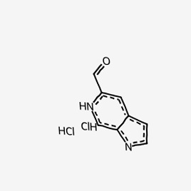 Cl.Cl.O=Cc1cc2ccnc-2c[nH]1